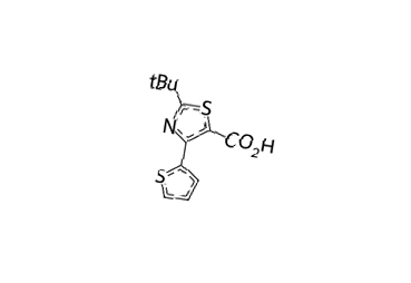 CC(C)(C)c1nc(-c2cccs2)c(C(=O)O)s1